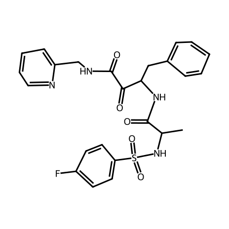 CC(NS(=O)(=O)c1ccc(F)cc1)C(=O)NC(Cc1ccccc1)C(=O)C(=O)NCc1ccccn1